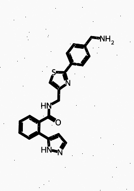 NCc1ccc(-c2nc(CNC(=O)c3ccccc3-c3ccn[nH]3)cs2)cc1